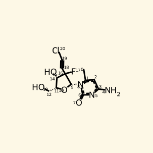 Cc1cc(N)nc(=O)n1[C@@H]1O[C@H](CO)[C@H](O)C1(F)C#CCl